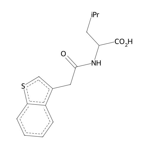 CC(C)CC(NC(=O)Cc1csc2ccccc12)C(=O)O